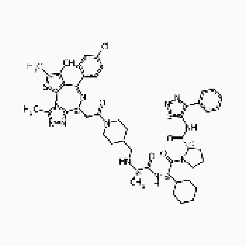 Cc1sc2c(c1C)C(c1ccc(Cl)cc1)=N[C@@H](CC(=O)N1CCC(CN[C@@H](C)C(=O)N[C@H](C(=O)N3CCC[C@H]3C(=O)Nc3snnc3-c3ccccc3)C3CCCCC3)CC1)c1nnc(C)n1-2